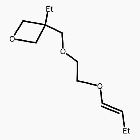 CCC=COCCOCC1(CC)COC1